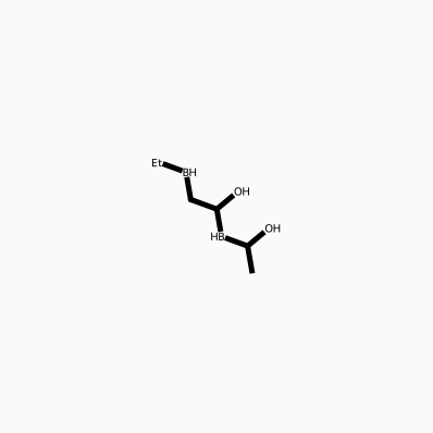 CCBCC(O)BC(C)O